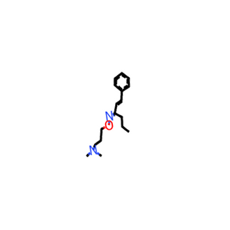 CCCC(/C=C/c1ccccc1)=N\OCCCN(C)C